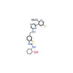 COc1ncc(F)cc1-c1cncc(NCc2ccc3nc(NC4CCCC[C@H]4O)sc3c2)n1